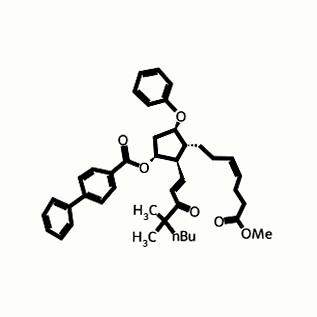 CCCCC(C)(C)C(=O)/C=C/[C@@H]1[C@@H](CC/C=C\CCC(=O)OC)[C@H](Oc2ccccc2)C[C@H]1OC(=O)c1ccc(-c2ccccc2)cc1